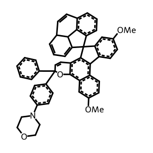 COc1ccc2c(c1)C1(C3=CC=CC4C=Cc5cccc1c5C34)c1c3c(c4cc(OC)ccc4c1-2)OC(c1ccccc1)(c1ccc(N2CCOCC2)cc1)C=C3